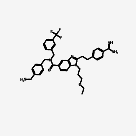 CCOCCCn1c(CCc2ccc(C(=N)N)cc2)nc2cc(C(=O)N(Cc3ccc(CN)cc3)Cc3cccc(C(F)(F)F)c3)ccc21